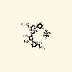 COC[C@@H](C=O)NP(=O)(OC[C@H]1O[C@@H]([n+]2cccc(C(N)=O)c2)[C@H](O)[C@@H]1O)Oc1ccccc1.O=S(=O)([O-])C(F)(F)F